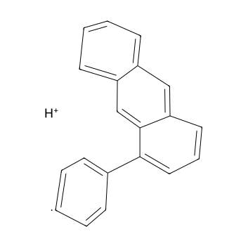 [H+].[c]1ccc(-c2cccc3cc4ccccc4cc23)cc1